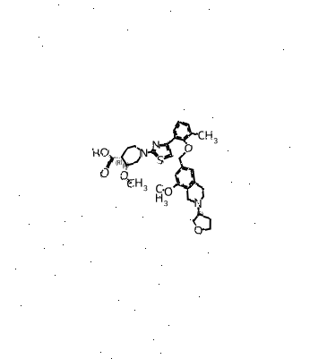 COc1cc(COc2c(C)cccc2-c2csc(N3CC[C@@H](C(=O)O)[C@@H](OC)C3)n2)cc2c1CN([C@H]1CCOC1)CC2